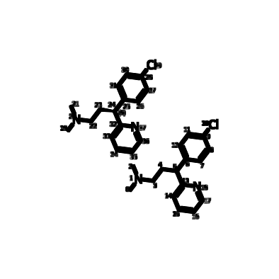 CN(C)CCC(c1ccc(Cl)cc1)c1ccccn1.CN(C)CC[C@@H](c1ccc(Cl)cc1)c1ccccn1